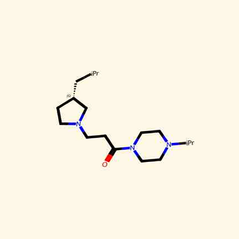 CC(C)C[C@H]1CCN(CCC(=O)N2CCN(C(C)C)CC2)C1